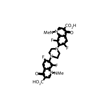 CNn1cc(C(=O)O)c(=O)c2cc(F)c(N3CCN(c4c(F)cc5c(=O)c(C(=O)O)cn(NC)c5c4F)CC3)c(F)c21